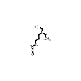 CCN(CC)CCCSN=C=O